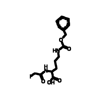 O=C(CI)NC(CCCNC(=O)OCc1ccccc1)C(=O)O